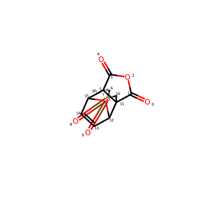 O=C1OC(=O)[C@@]23CS(=O)(=O)CC12C1C=CC3O1